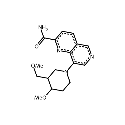 COCC1CN(c2cncc3ccc(C(N)=O)nc23)CCC1OC